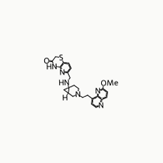 COc1ccc2nccc(CCN3CC[C@@]4(NCc5ccc6c(n5)NC(=O)CS6)C[C@H]4C3)c2n1